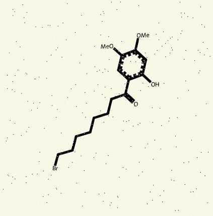 COc1cc(O)c(C(=O)CCCCCCCBr)cc1OC